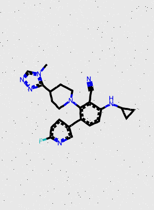 Cn1cnnc1C1CCN(c2c(-c3ccc(F)nc3)ccc(NC3CC3)c2C#N)CC1